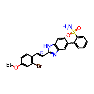 CCOc1ccc(/C=C/c2nc3cc(-c4ccccc4S(N)(=O)=O)ccc3[nH]2)c(Br)c1